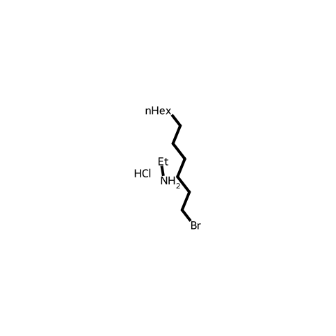 CCCCCCCCCCCCBr.CCN.Cl